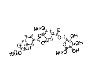 COc1cc(C(=O)OC[C@H]2O[C@H](OC)[C@H](O)[C@@H](O)[C@@H]2O)cc(Cl)c1OCc1cccc(NC(=O)OC(C)(C)C)c1